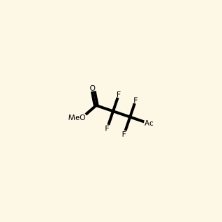 COC(=O)C(F)(F)C(F)(F)C(C)=O